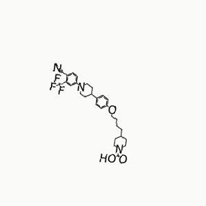 N#Cc1ccc(N2CCC(c3ccc(OCCCCC4CCN(C(=O)O)CC4)cc3)CC2)cc1C(F)(F)F